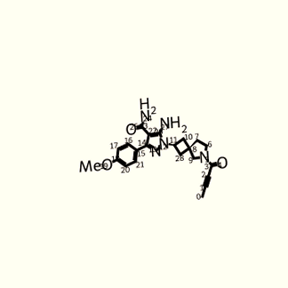 CC#CC(=O)N1CC[C@]2(C1)C[C@H](n1nc(-c3ccc(OC)cc3)c(C(N)=O)c1N)C2